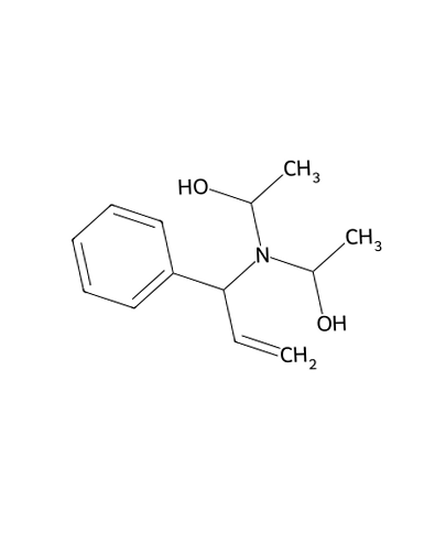 C=CC(c1ccccc1)N(C(C)O)C(C)O